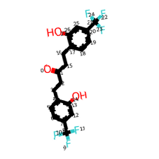 O=C(CCc1ccc(C(F)(F)F)cc1O)CCc1ccc(C(F)(F)F)cc1O